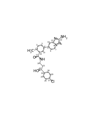 Cc1ccc(-c2ccn3nc(N)nc3c2)cc1C(=O)NCC[C@H](O)c1ccc(Cl)cc1